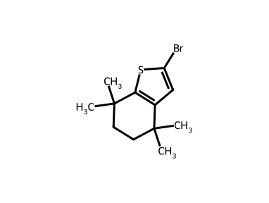 CC1(C)CCC(C)(C)c2sc(Br)cc21